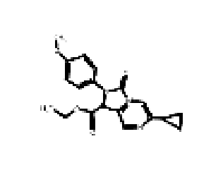 CCOC(=O)C1c2cnc(C3CC3)c[n+]2C(=O)N1c1ccc(OC)cc1